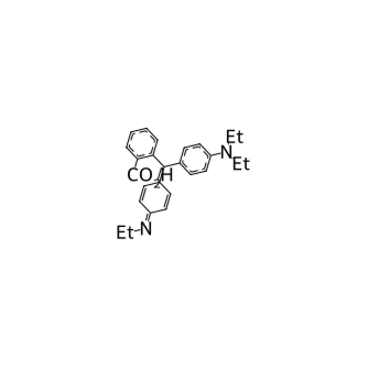 CCN=C1C=CC(=C(c2ccc(N(CC)CC)cc2)c2ccccc2C(=O)O)C=C1